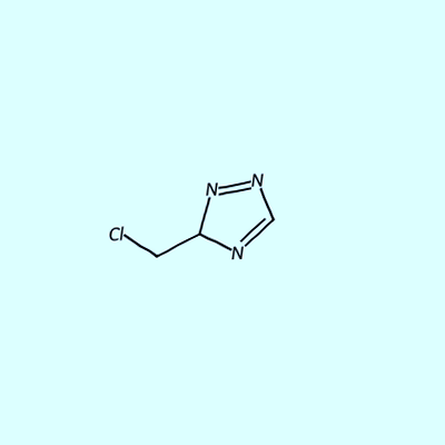 ClCC1N=CN=N1